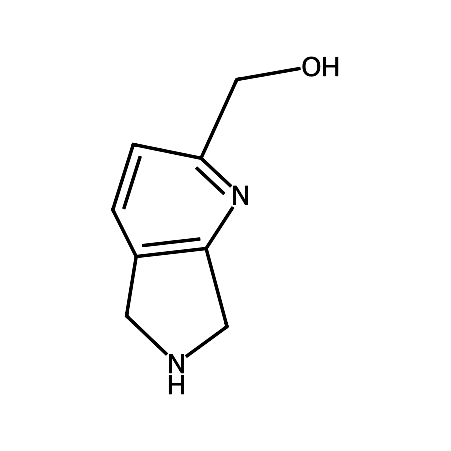 OCc1ccc2c(n1)CNC2